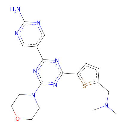 CN(C)Cc1ccc(-c2nc(-c3cnc(N)nc3)nc(N3CCOCC3)n2)s1